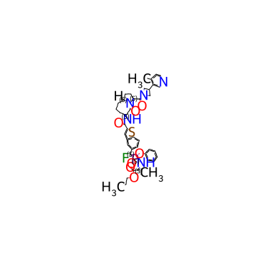 CCCOC(=O)[C@H](C)N[P@@](=O)(Oc1ccccc1)[C@H](F)c1ccc2sc(C(=O)N[C@H]3CCC[C@H]4CC[C@@H](C(=O)N5CC(c6cnccc6C)C5)N4C3=O)cc2c1